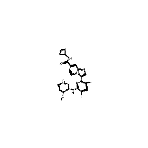 O=C(NC1CCC1)c1ccn2c(-c3nc(N[C@@H]4CNCC[C@H]4F)c(F)cc3F)cnc2c1